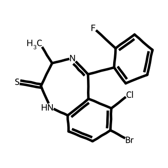 CC1N=C(c2ccccc2F)c2c(ccc(Br)c2Cl)NC1=S